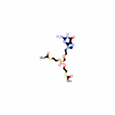 CC(C)(C)C(=O)SCCOP(=O)(COCCn1cnc2c(=O)[nH]c(N)nc21)OCCSC(=O)C(C)(C)C